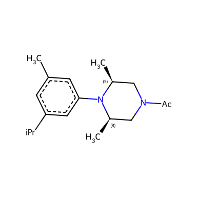 CC(=O)N1C[C@@H](C)N(c2cc(C)cc(C(C)C)c2)[C@@H](C)C1